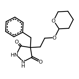 O=C1NNC(=O)C1(CCOC1CCCCO1)Cc1ccccc1